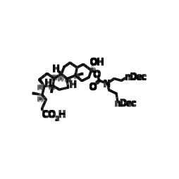 CCCCCCCCCCCCN(CCCCCCCCCCCC)C(=O)O[C@@]1(O)CC[C@@]2(C)C(CC[C@H]3[C@@H]4CC[C@H]([C@H](C)CCC(=O)O)[C@@]4(C)CC[C@@H]32)C1